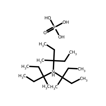 CCC(C)(CC)[SiH](C(C)(CC)CC)C(C)(CC)CC.O=P(O)(O)O